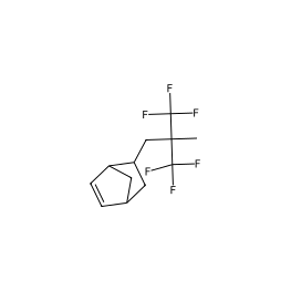 CC(CC1CC2C=CC1C2)(C(F)(F)F)C(F)(F)F